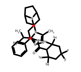 [2H]C1([2H])CC(F)(F)CC([2H])([2H])C1C(=O)NC(CCN1C2CCC1CC(n1c(C)nnc1C(C)C)C2)c1ccccc1